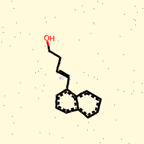 OCC/C=C/c1cccc2ccccc12